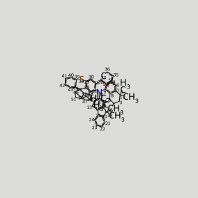 CC1(C)CCC(C)(C)c2c(N(c3ccc4c(c3)C(C)(C)c3ccccc3-4)c3cc4c(cc3-c3ccccc3)Sc3ccccc3C43C4CC5CC(C4)C3C5)cccc21